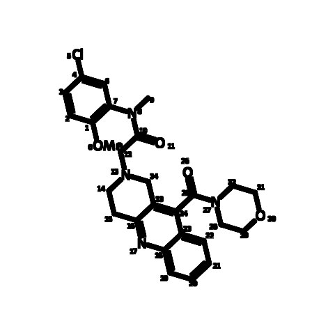 COc1ccc(Cl)cc1N(C)C(=O)CN1CCc2nc3ccccc3c(C(=O)N3CCOCC3)c2C1